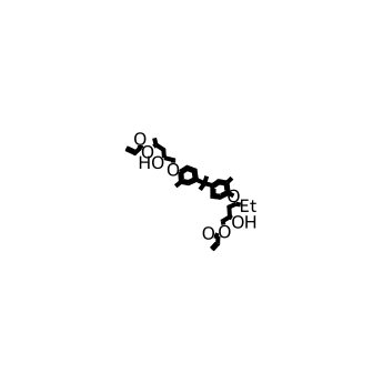 C=CC(=O)OCC(O)CC(CC)Oc1ccc(C(C)(C)c2ccc(OCC(O)CC(C)OC(=O)C=C)c(C)c2)cc1C